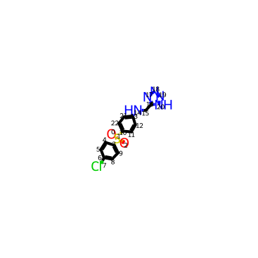 O=S(=O)(c1ccc(Cl)cc1)c1ccc(NCc2nnn[nH]2)cc1